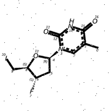 Cc1cn([C@H]2C[C@H](F)[C@@H](CI)O2)c(=O)[nH]c1=O